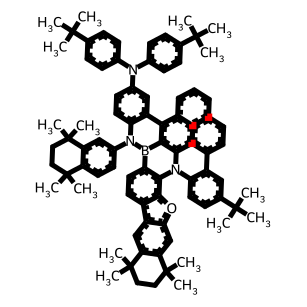 CC(C)(C)c1ccc(N(c2ccc(C(C)(C)C)cc2)c2ccc3c(c2)-c2c4c(cc5ccccc25)N(c2ccc(C(C)(C)C)cc2-c2ccccc2)c2c(ccc5c2oc2cc6c(cc25)C(C)(C)CCC6(C)C)B4N3c2ccc3c(c2)C(C)(C)CCC3(C)C)cc1